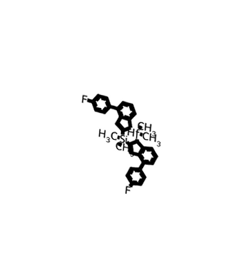 C[Si]1(C)C2=Cc3c(-c4ccc(F)cc4)cccc3[CH]2[Hf]([CH3])([CH3])[CH]2C1=Cc1c(-c3ccc(F)cc3)cccc12